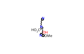 COc1ccc2nccc([C@@H](O)CC[C@@H]3CCN(CCCCCc4ccncc4)C[C@@H]3CC(=O)O)c2c1